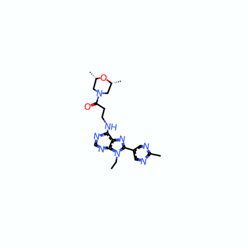 CCn1c(-c2cnc(C)nc2)nc2c(NCCC(=O)N3C[C@@H](C)O[C@@H](C)C3)ncnc21